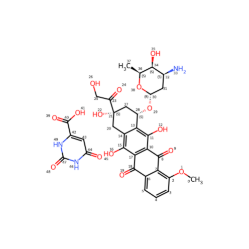 COc1cccc2c1C(=O)c1c(O)c3c(c(O)c1C2=O)C[C@@](O)(C(=O)CO)C[C@@H]3O[C@H]1C[C@H](N)[C@H](O)[C@H](C)O1.O=C(O)c1cc(=O)[nH]c(=O)[nH]1